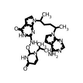 CC(C)N1C=CC(=O)NC1ONc1nc2c(ccn2C(C)CCC(C)n2ccc3c(N)ncnc32)c(=O)[nH]1